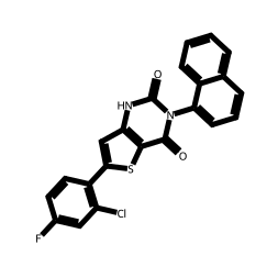 O=c1[nH]c2cc(-c3ccc(F)cc3Cl)sc2c(=O)n1-c1cccc2ccccc12